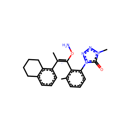 C/C(=C(\ON)c1c(C)cccc1-n1nnn(C)c1=O)c1cccc2c1CCCC2